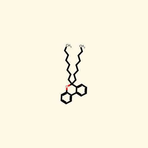 CCCCCCCCC1(CCCCCCCC)Oc2ccccc2-c2ccccc21